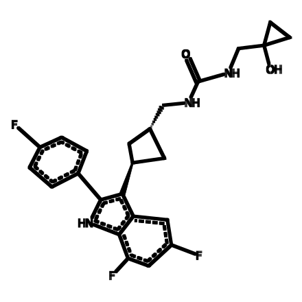 O=C(NCC1(O)CC1)NC[C@H]1C[C@H](c2c(-c3ccc(F)cc3)[nH]c3c(F)cc(F)cc32)C1